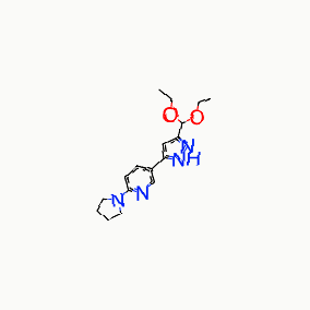 CCOC(OCC)c1cc(-c2ccc(N3CCCC3)nc2)[nH]n1